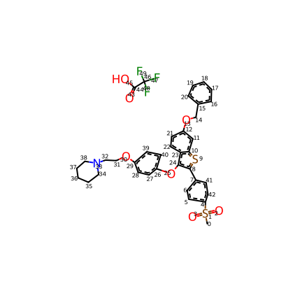 CS(=O)(=O)c1ccc(-c2sc3cc(OCc4ccccc4)ccc3c2Oc2ccc(OCCN3CCCCC3)cc2)cc1.O=C(O)C(F)(F)F